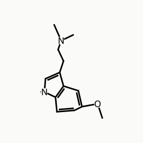 COc1ccc2c(c1)C(CCN(C)C)=C[N]2